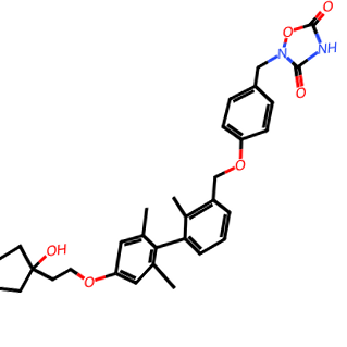 Cc1cc(OCCC2(O)CCCC2)cc(C)c1-c1cccc(COc2ccc(Cn3oc(=O)[nH]c3=O)cc2)c1C